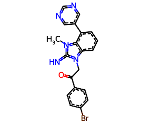 Cn1c(=N)n(CC(=O)c2ccc(Br)cc2)c2cccc(-c3cncnc3)c21